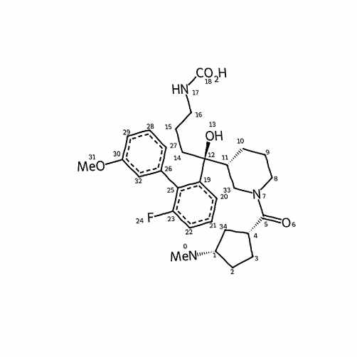 CN[C@H]1CC[C@@H](C(=O)N2CCC[C@@H]([C@@](O)(CCCNC(=O)O)c3cccc(F)c3-c3cccc(OC)c3)C2)C1